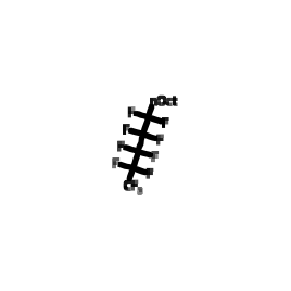 CCCCCCCCC(F)(F)C(F)(F)C(F)(F)C(F)(F)C(F)(F)F